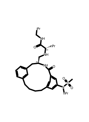 CCC[C@H](NC[C@@H]1Cc2cccc(c2)CCCCc2cc(cc(N(CCC)S(C)(=O)=O)c2)C(=O)N1)C(=O)NCC(C)C